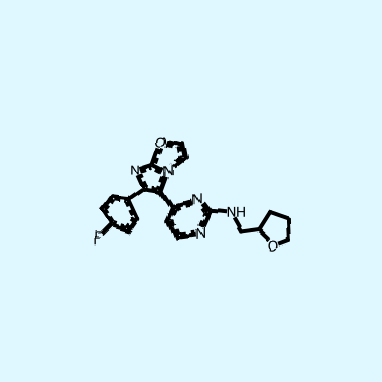 Fc1ccc(-c2nc3occn3c2-c2ccnc(NCC3CCCO3)n2)cc1